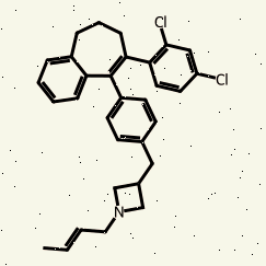 C/C=C/CN1CC(Cc2ccc(C3=C(c4ccc(Cl)cc4Cl)CCCc4ccccc43)cc2)C1